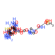 CP(O)(=S)OCCCCCCNC(=O)CCCCC(=O)N1Cc2ccccc2-c2c(nnn2CCOc2ccc(C(=O)Oc3ccc(CS[P@]4(=O)N[C@H]5[C@@H](O)[C@H](n6cnc7c(=O)[nH]c(N)nc76)O[C@@H]5CO[P@@](=O)(S)N[C@H]5[C@@H](O)[C@H](n6cnc7c(N)ncnc76)O[C@@H]5CO4)cc3)cc2)-c2ccccc21